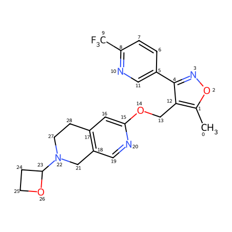 Cc1onc(-c2ccc(C(F)(F)F)nc2)c1COc1cc2c(cn1)CN(C1CCO1)CC2